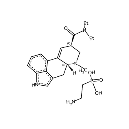 CCN(CC)C(=O)[C@@H]1C=C2c3cccc4[nH]cc(c34)C[C@H]2N(C)C1.NCCP(=O)(O)O